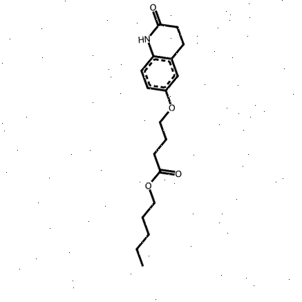 CCCCCOC(=O)CCCOc1ccc2c(c1)CCC(=O)N2